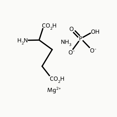 N.NC(CCC(=O)O)C(=O)O.O=P([O-])([O-])O.[Mg+2]